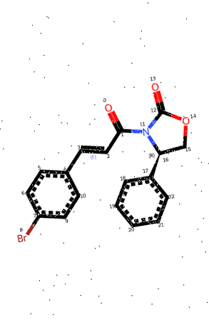 O=C(/C=C/c1ccc(Br)cc1)N1C(=O)OC[C@H]1c1ccccc1